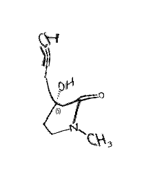 C#CC[C@]1(O)CCN(C)C1=O